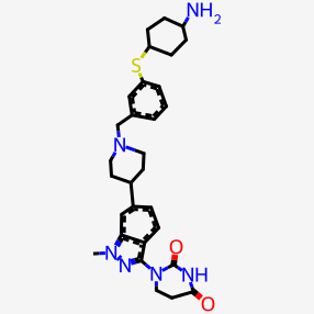 Cn1nc(N2CCC(=O)NC2=O)c2ccc(C3CCN(Cc4cccc(SC5CCC(N)CC5)c4)CC3)cc21